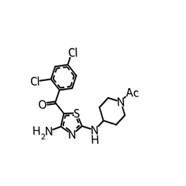 CC(=O)N1CCC(Nc2nc(N)c(C(=O)c3ccc(Cl)cc3Cl)s2)CC1